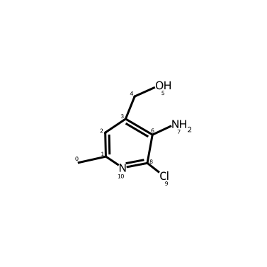 Cc1cc(CO)c(N)c(Cl)n1